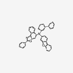 c1ccc(-c2cccc(N(c3ccc4c(c3)oc3ccccc34)c3cc4oc(-c5ccccc5)nc4c4ccccc34)c2)cc1